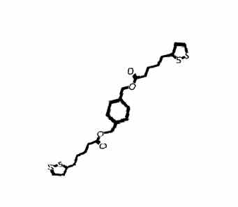 O=C(CCCCC1CCSS1)OCC1CCC(COC(=O)CCCCC2CCSS2)CC1